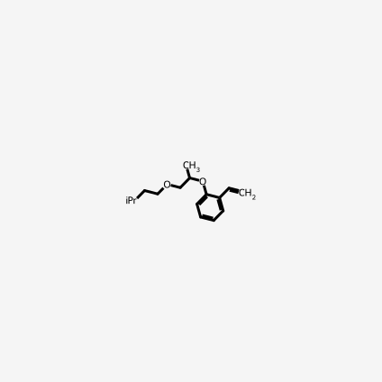 C=Cc1ccccc1OC(C)COCCC(C)C